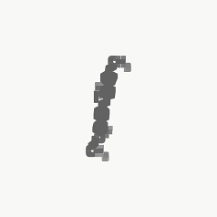 CCCCOC1CCC(C2CCC(CCC3CCC(C4CCC(CCC)CC4)C(F)C3F)CC2)CC1F